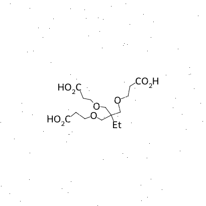 CCC(COCCC(=O)O)(COCCC(=O)O)COCCC(=O)O